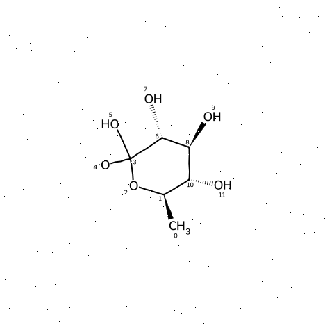 C[C@H]1OC([O])(O)[C@H](O)[C@@H](O)[C@@H]1O